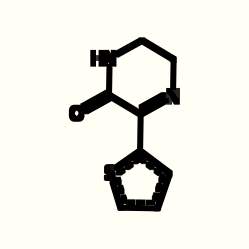 O=C1NCCN=C1c1cccs1